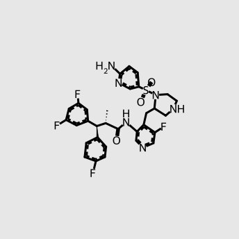 C[C@H](C(=O)Nc1cncc(F)c1CC1CNCCN1S(=O)(=O)c1ccc(N)nc1)[C@@H](c1ccc(F)cc1)c1cc(F)cc(F)c1